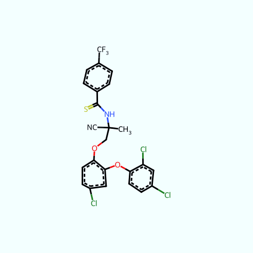 CC(C#N)(COc1ccc(Cl)cc1Oc1ccc(Cl)cc1Cl)NC(=S)c1ccc(C(F)(F)F)cc1